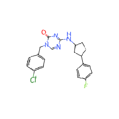 O=c1nc(NC2CCC(c3ccc(F)cc3)C2)ncn1Cc1ccc(Cl)cc1